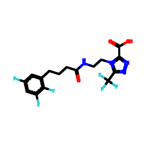 O=C(CCCc1cc(F)cc(F)c1F)NCCn1c(C(=O)O)nnc1C(F)(F)F